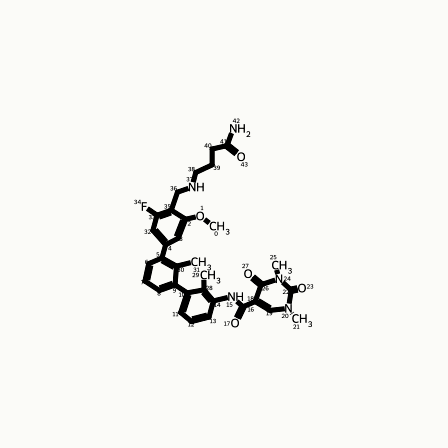 COc1cc(-c2cccc(-c3cccc(NC(=O)c4cn(C)c(=O)n(C)c4=O)c3C)c2C)cc(F)c1CNCCCC(N)=O